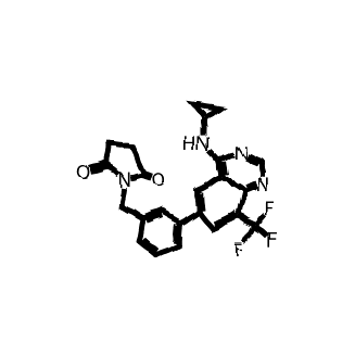 O=C1CCC(=O)N1Cc1cccc(-c2cc(C(F)(F)F)c3ncnc(NC4CC4)c3c2)c1